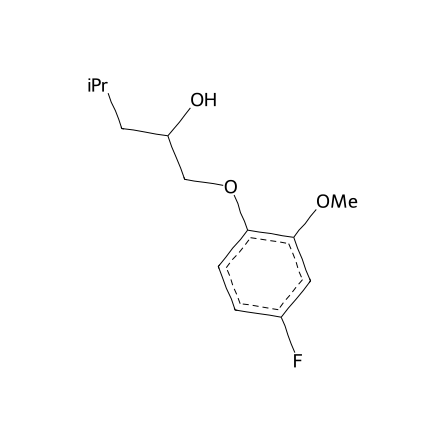 COc1cc(F)ccc1OCC(O)CC(C)C